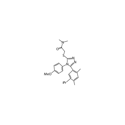 COc1ccc(-n2c(SCC(=O)N(C)C)nnc2-c2cc(C(C)C)c(C)cc2C)cc1